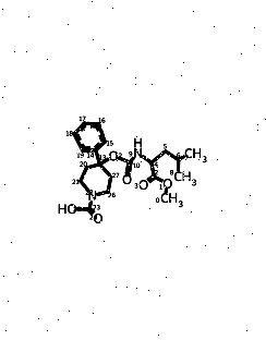 COC(=O)C(CC(C)C)NC(=O)OC1(c2ccccc2)CCN(C(=O)O)CC1